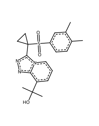 Cc1ccc(S(=O)(=O)C2(c3nnc4c(C(C)(C)O)cccn34)CC2)cc1C